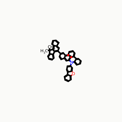 CC1(C)c2ccccc2-c2c(-c3ccc4cc(N(c5ccc6c(c5)oc5ccccc56)c5ccccc5-c5ccccc5)ccc4c3)cc3ccccc3c21